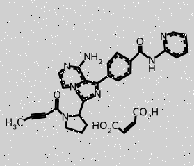 CC#CC(=O)N1CCCC1c1nc(-c2ccc(C(=O)Nc3ccccn3)cc2)c2c(N)nccn12.O=C(O)/C=C\C(=O)O